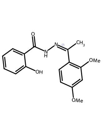 COc1ccc(/C(C)=N\NC(=O)c2ccccc2O)c(OC)c1